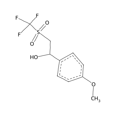 COc1ccc(C(O)CS(=O)(=O)C(F)(F)F)cc1